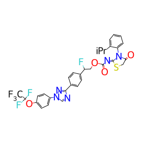 CC(C)c1ccccc1N1C(=O)CS/C1=N\C(=O)OCC(F)c1ccc(-c2ncn(-c3ccc(OC(F)(F)C(F)(F)F)cc3)n2)cc1